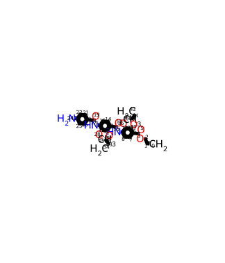 C=CCOC(=O)c1ccc(NC(=O)c2ccc(NC(=O)c3ccc(N)cc3)c(OC)c2OCC=C)c(OC)c1OCC=C